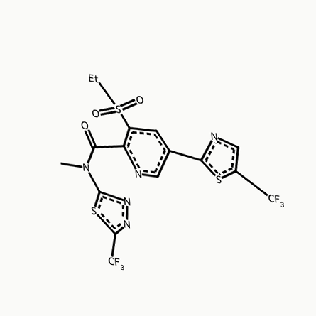 CCS(=O)(=O)c1cc(-c2ncc(C(F)(F)F)s2)cnc1C(=O)N(C)c1nnc(C(F)(F)F)s1